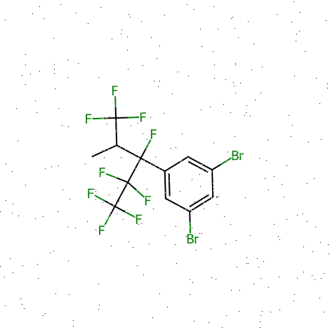 CC(C(F)(F)F)C(F)(c1cc(Br)[c]c(Br)c1)C(F)(F)C(F)(F)F